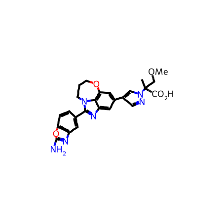 COCC(C)(C(=O)O)n1cc(-c2cc3c4c(c2)nc(-c2ccc5oc(N)nc5c2)n4CCCO3)cn1